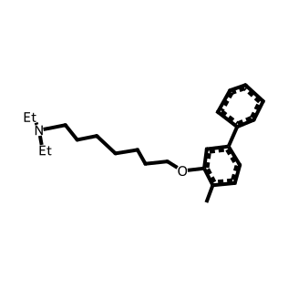 CCN(CC)CCCCCCCOc1cc(-c2ccccc2)ccc1C